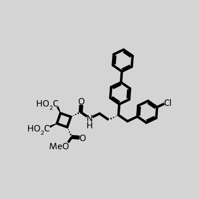 COC(=O)[C@@H]1[C@@H](C(=O)O)[C@@H](C(=O)O)[C@@H]1C(=O)NCC[C@@H](Cc1ccc(Cl)cc1)c1ccc(-c2ccccc2)cc1